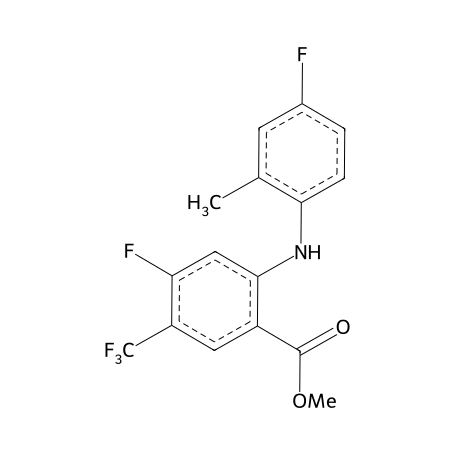 COC(=O)c1cc(C(F)(F)F)c(F)cc1Nc1ccc(F)cc1C